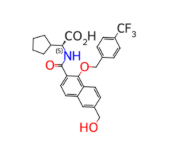 O=C(N[C@H](C(=O)O)C1CCCC1)c1ccc2cc(CO)ccc2c1OCc1ccc(C(F)(F)F)cc1